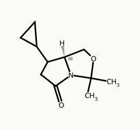 CC1(C)OC[C@@H]2C(C3CC3)CC(=O)N21